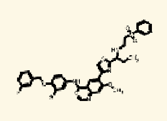 CCC(NCCS(=O)(=O)c1ccccc1)c1nc(-c2cc3c(Nc4ccc(OCc5cccc(F)c5)c(Br)c4)ncnc3cc2OC)cs1